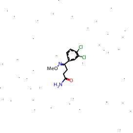 CO/N=C(\CCC(N)=O)c1ccc(Cl)c(Cl)c1